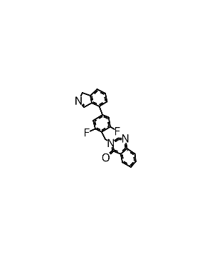 O=c1c2ccccc2ncn1Cc1c(F)cc(-c2cccc3c2C=NC3)cc1F